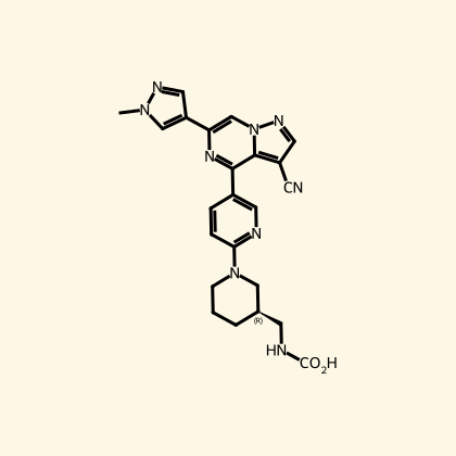 Cn1cc(-c2cn3ncc(C#N)c3c(-c3ccc(N4CCC[C@H](CNC(=O)O)C4)nc3)n2)cn1